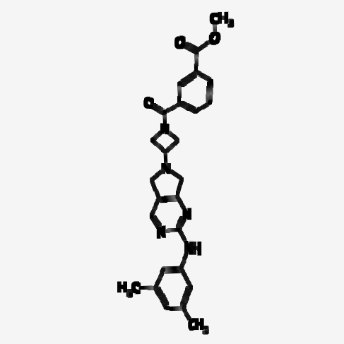 COC(=O)c1cccc(C(=O)N2CC(N3Cc4cnc(Nc5cc(C)cc(C)c5)nc4C3)C2)c1